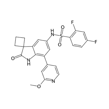 COc1cc(-c2cc(NS(=O)(=O)c3ccc(F)cc3F)cc3c2NC(=O)C32CCC2)ccn1